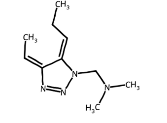 C/C=c1/nnn(CN(C)C)/c1=C/CC